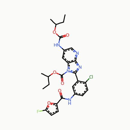 CCC(C)OC(=O)Nc1cnc2nc(-c3cc(NC(=O)c4ccc(F)o4)ccc3Cl)n(C(=O)OC(C)CC)c2c1